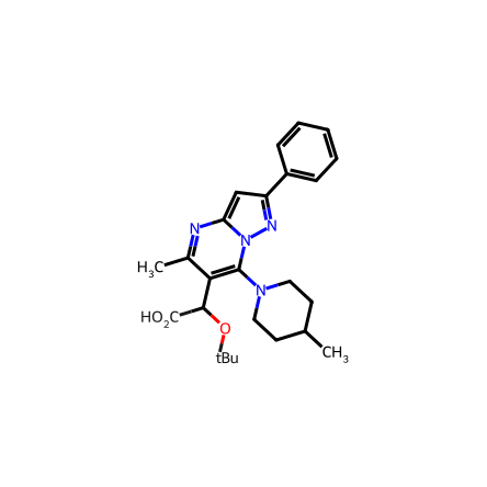 Cc1nc2cc(-c3ccccc3)nn2c(N2CCC(C)CC2)c1C(OC(C)(C)C)C(=O)O